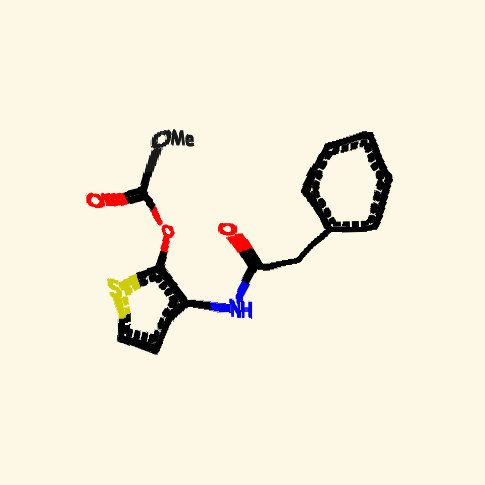 COC(=O)Oc1sccc1NC(=O)Cc1ccccc1